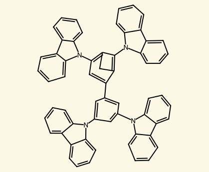 c1ccc2c(c1)c1ccccc1n2-c1cc(-c2cc(-n3c4ccccc4c4ccccc43)c3c(-n4c5ccccc5c5ccccc54)c2C3)cc(-n2c3ccccc3c3ccccc32)c1